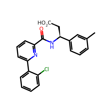 Cc1cccc([C@H](CC(=O)O)NC(=O)c2cccc(-c3ccccc3Cl)n2)c1